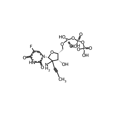 CC#CC1(N)[C@@H](O)[C@@H](COP(=O)(O)OP(=O)(O)OP(=O)(O)O)O[C@H]1n1cc(F)c(=O)[nH]c1=O